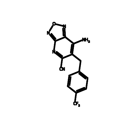 N#Cc1nc2nonc2c(N)c1Cc1ccc(C(F)(F)F)cc1